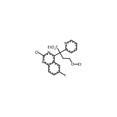 CCOCCC(C(=O)OCC)(c1ccccn1)c1nc(Cl)nc2ccc(I)cc12